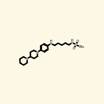 CC(C)(C)S(=O)(=O)NCCCCCNc1ccc(N2CCC(N3CCCCC3)CC2)cc1